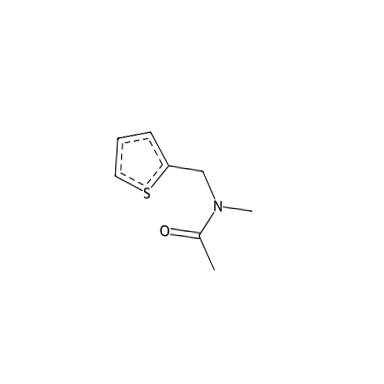 CC(=O)N(C)Cc1cccs1